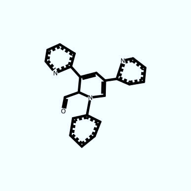 O=CC1C(c2ccccn2)=CC(c2ccccn2)=CN1c1ccccc1